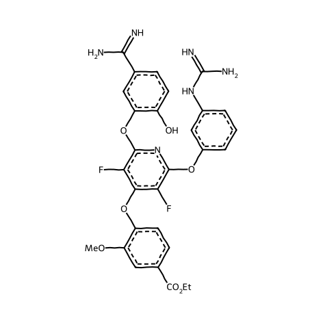 CCOC(=O)c1ccc(Oc2c(F)c(Oc3cccc(NC(=N)N)c3)nc(Oc3cc(C(=N)N)ccc3O)c2F)c(OC)c1